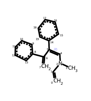 C=CN(C)/C=C(\C(=C)c1ccccc1)c1ccccc1